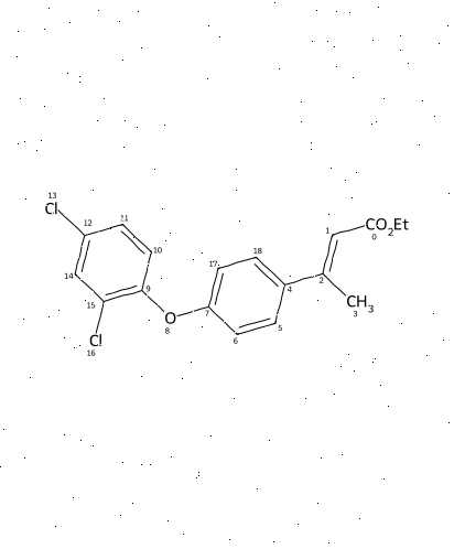 CCOC(=O)C=C(C)c1ccc(Oc2ccc(Cl)cc2Cl)cc1